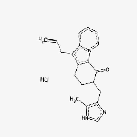 C=CCc1c2c(n3ccccc13)C(=O)C(Cc1nc[nH]c1C)CC2.Cl